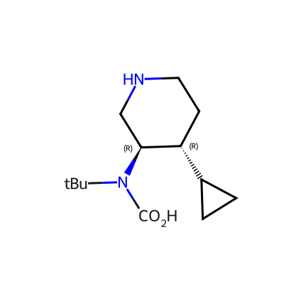 CC(C)(C)N(C(=O)O)[C@H]1CNCC[C@@H]1C1CC1